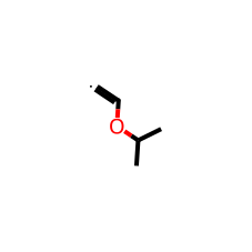 [CH]=COC(C)C